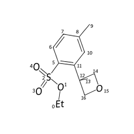 CCOS(=O)(=O)c1ccc(C)cc1C1(C)COC1